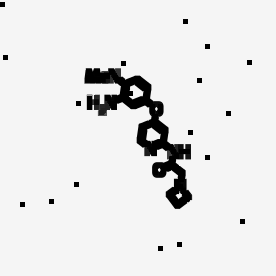 CNc1ccc(Oc2ccnc(NC(=O)CN3CCC3)c2)cc1N